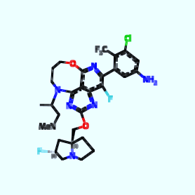 CNCC(C)N1CCCOc2nc(-c3cc(N)cc(Cl)c3C(F)(F)F)c(F)c3nc(OC[C@@]45CCCN4C[C@H](F)C5)nc1c23